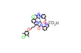 Cc1cc(OCCCc2c3n(c4c(-c5c(C)nn(C)c5C)c(Cl)ccc24)C(C)CN(c2cccc4cc(C(=O)O)n(OCc5ccccc5)c24)C3=O)cc(C)c1Cl